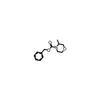 CC1COCCN1C(=O)OCc1ccccc1